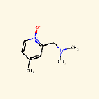 Cc1cc[n+]([O-])c(CN(C)C)c1